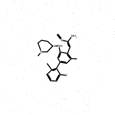 C=N/C(N)=C\c1c(C)cc(-c2c(C)cccc2F)cc1N[C@@H]1CCCN(C)C1